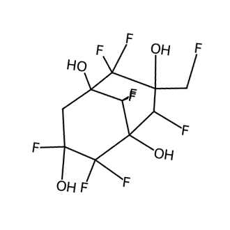 OC1(F)CC2(O)C(F)(F)C(O)(CF)C(F)C(O)(C1(F)F)C2(F)F